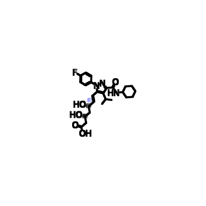 CC(C)c1c(C(=O)NC2CCCCC2)nn(-c2ccc(F)cc2)c1/C=C/[C@@H](O)C[C@@H](O)CC(=O)O